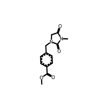 COC(=O)c1ccc(CN2CC(=O)N(C)C2=O)cc1